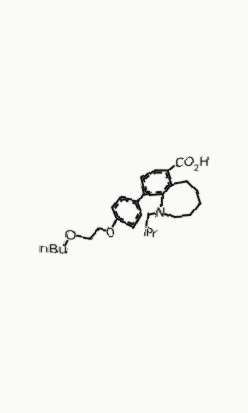 CCCCOCCOc1ccc(-c2ccc(C(=O)O)c3c2N(CC(C)C)CCCCC3)cc1